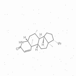 CC(C)[C@H]1CC[C@H]2[C@@H]3[C@@H](C)C[C@H]4NC(=O)C=C[C@]4(C)[C@H]3CC[C@]12C